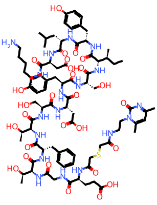 CC[C@H](C)[C@H](NC(=O)[C@H](CO)NC(=O)[C@H](Cc1ccc(O)cc1)NC(=O)[C@H](CC(=O)O)NC(=O)[C@H](CO)NC(=O)[C@@H](NC(=O)[C@H](Cc1ccccc1)NC(=O)[C@@H](NC(=O)CNC(=O)[C@H](CCC(=O)O)NC(=O)CSCC(=O)NCCn1c(C)cc(C)nc1=O)[C@@H](C)O)[C@@H](C)O)C(=O)N[C@@H](Cc1ccc(O)cc1)C(=O)N[C@@H](CC(C)C)C(=O)N[C@@H](CC(=O)O)C(=O)N[C@H](C)CCCCN